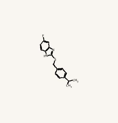 CC(C)c1ccc(CSc2nc3cc(F)ccc3[nH]2)cc1